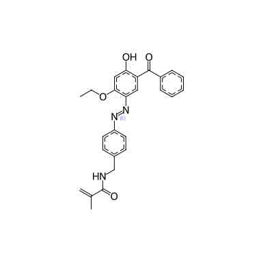 C=C(C)C(=O)NCc1ccc(/N=N/c2cc(C(=O)c3ccccc3)c(O)cc2OCC)cc1